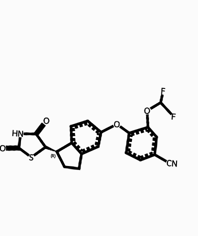 N#Cc1ccc(Oc2ccc3c(c2)CC[C@H]3C2SC(=O)NC2=O)c(OC(F)F)c1